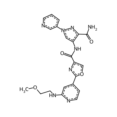 COCCNc1cc(-c2nc(C(=O)Nc3cn(-c4cccnc4)nc3C(N)=O)co2)ccn1